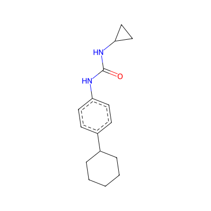 O=C(Nc1ccc(C2CCCCC2)cc1)NC1CC1